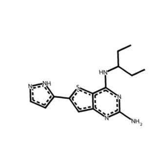 CCC(CC)Nc1nc(N)nc2cc(-c3ccn[nH]3)sc12